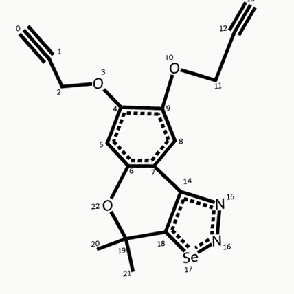 C#CCOc1cc2c(cc1OCC#C)-c1nn[se]c1C(C)(C)O2